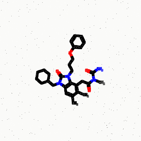 Cc1cc2c(c(CC(=O)N(C)C(N)=O)c1C)n(CCCOc1ccccc1)c(=O)n2CC1CCCCC1